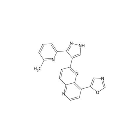 Cc1cccc(-c2n[nH]cc2-c2ccc3nccc(-c4cnco4)c3n2)n1